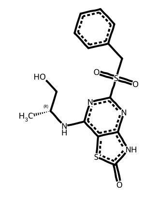 C[C@H](CO)Nc1nc(S(=O)(=O)Cc2ccccc2)nc2[nH]c(=O)sc12